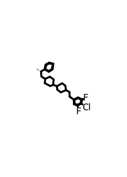 C[C@@H](CC1CCC(C2CCC(CCc3cc(F)c(Cl)c(F)c3)CC2)CC1)c1ccccc1